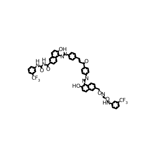 O=C(NC(=O)c1ccc2c(N=Nc3ccc(C=CC(=O)c4ccc(N=Nc5c(O)ccc6cc(CO/N=C/ONc7cccc(C(F)(F)F)c7)ccc56)cc4)cc3)c(O)ccc2c1)Nc1cccc(C(F)(F)F)c1